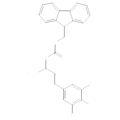 O=C(NC(CCc1cc(F)c(Cl)c(F)c1)C(=O)O)OCC1c2ccccc2-c2ccccc21